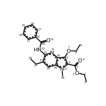 CCOC(=O)c1c(OCC)c2nc(NC(=O)c3ccccc3)c(CC)cc2n1C